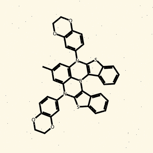 Cc1cc2c3c(c1)N(c1ccc4c(c1)OCCO4)c1sc4ccccc4c1B3c1c(sc3ccccc13)N2c1ccc2c(c1)OCCO2